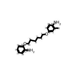 Cc1cc(OCCCCCCOc2ccccc2N)ccc1N